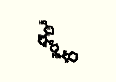 O[C@H]1CCC[C@@H](c2nccnc2Oc2ccc(Nc3nc4ccccc4s3)cc2)C1